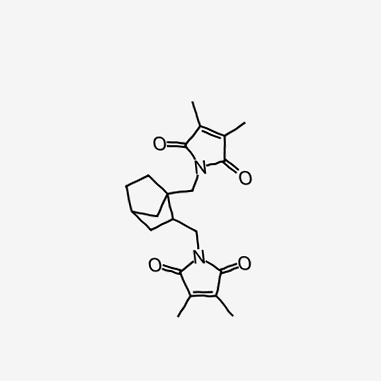 CC1=C(C)C(=O)N(CC2CC3CCC2(CN2C(=O)C(C)=C(C)C2=O)C3)C1=O